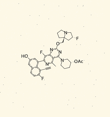 C#Cc1c(F)ccc2cc(O)cc(-c3nc(C)c4c(N5CCC[C@@H](OC(C)=O)C5)nc(OC[C@@]56CCCN5C[C@H](F)C6)nc4c3F)c12